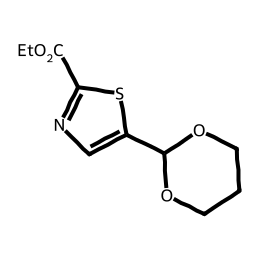 CCOC(=O)c1ncc(C2OCCCO2)s1